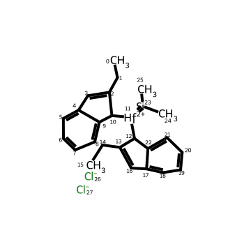 CCC1=Cc2ccccc2[CH]1[Hf+2]([CH]1C(CC)=Cc2ccccc21)=[Si](C)C.[Cl-].[Cl-]